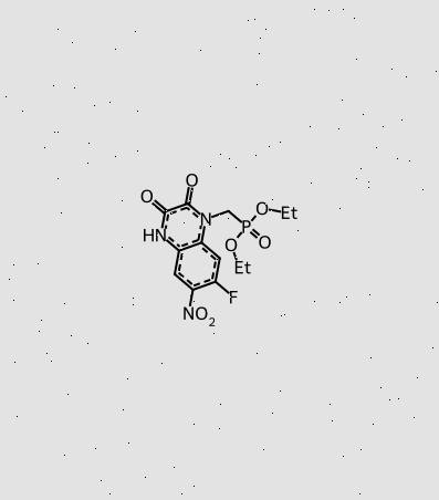 CCOP(=O)(Cn1c(=O)c(=O)[nH]c2cc([N+](=O)[O-])c(F)cc21)OCC